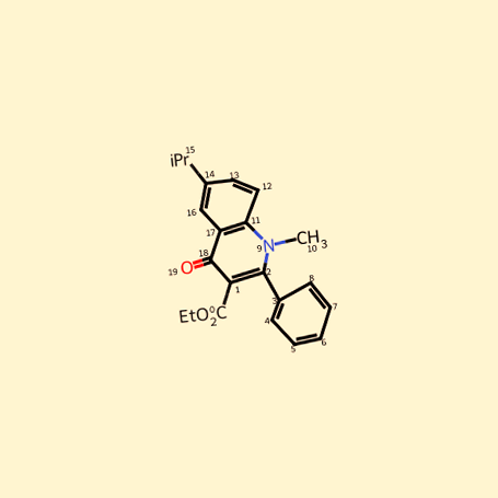 CCOC(=O)c1c(-c2ccccc2)n(C)c2ccc(C(C)C)cc2c1=O